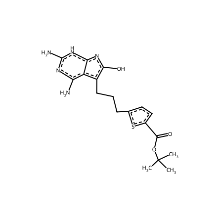 CC(C)(C)OC(=O)c1ccc(CCCc2c(O)nc3[nH]c(N)nc(N)c2-3)s1